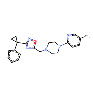 FC(F)(F)c1ccc(N2CCN(Cc3nc(C4(c5ccccc5)CC4)no3)CC2)nc1